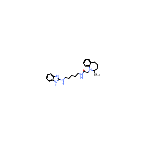 CC(C)(C)C1CC[C]c2ccccc2N1CC(=O)NCCCCCNc1nc2ccccc2[nH]1